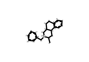 CC1CC2c3ccccc3CCC2CN1Cc1ccccc1